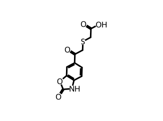 O=C(O)CSCC(=O)c1ccc2[nH]c(=O)oc2c1